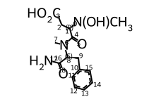 CN(O)[C@H](CC(=O)O)C(=O)N(C)[C@@H](Cc1ccccc1)C(N)=O